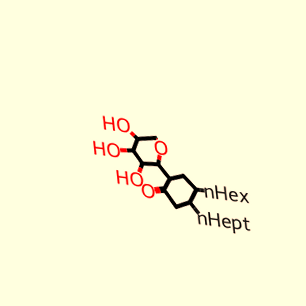 CCCCCCCC1CC(=O)C(C2OCC(O)C(O)C2O)CC1CCCCCC